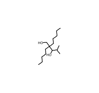 CCCCCC(CO)(CCCCC)C(O)C(C)C